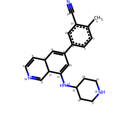 Cc1ccc(C2=CC3C=CN=CC3C(NC3CCNCC3)=C2)cc1C#N